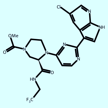 COC(=O)N1CCN(c2ccnc(-c3c[nH]c4ncc(Cl)cc34)n2)[C@@H](C(=O)NCC(F)(F)F)C1